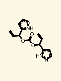 C=CC(OC(=O)OC(C=C)c1ccn[nH]1)c1ccn[nH]1